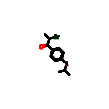 CC(C)Sc1ccc(C(=O)C(C)Br)cc1